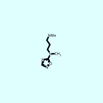 CNCCCN(C)c1ncno1